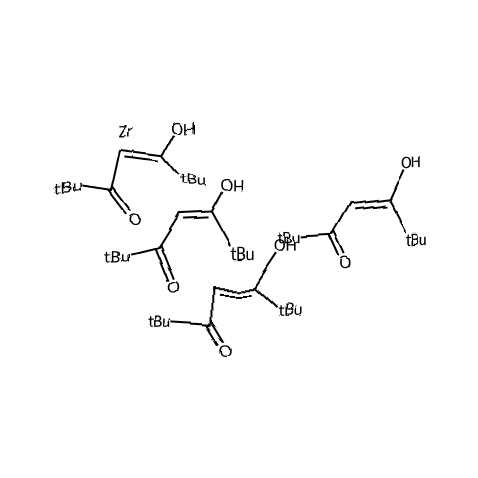 CC(C)(C)C(=O)/C=C(/O)C(C)(C)C.CC(C)(C)C(=O)/C=C(/O)C(C)(C)C.CC(C)(C)C(=O)/C=C(/O)C(C)(C)C.CC(C)(C)C(=O)/C=C(/O)C(C)(C)C.[Zr]